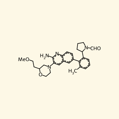 COCCC1CN(c2cc3cc(-c4c(C)cccc4C4CCCN4C=O)ccc3nc2N)CCO1